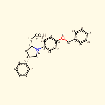 O=C(O)C[C@H]1C[C@@H](c2ccccc2)CN1c1ccc(OCc2ccccc2)cc1